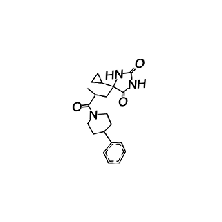 CC(CC1(C2CC2)NC(=O)NC1=O)C(=O)N1CCC(c2ccccc2)CC1